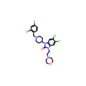 O=c1n(CCN2CCOCC2)c2cc(Cl)c(Cl)cc2n1C1CCN(Cc2ccc(F)cc2Cl)CC1